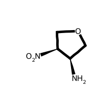 N[C@@H]1COC[C@@H]1[N+](=O)[O-]